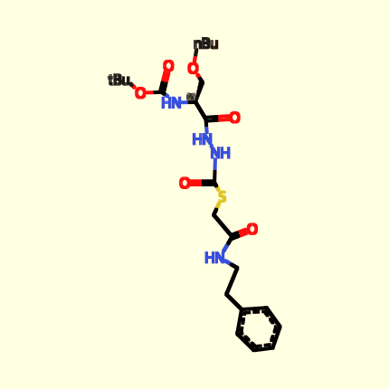 CCCCOC[C@H](NC(=O)OC(C)(C)C)C(=O)NNC(=O)SCC(=O)NCCc1ccccc1